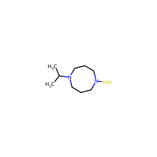 CC(C)N1CCCN(S)CCC1